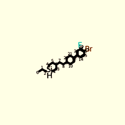 CCC[SiH]1CCC(CCC2CCC(c3ccc(Br)c(F)c3)CC2)CC1